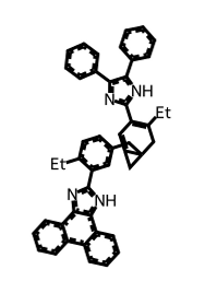 CCC1=C(c2nc(-c3ccccc3)c(-c3ccccc3)[nH]2)C=C2CC2(Cc2ccc(CC)c(-c3nc4c5ccccc5c5ccccc5c4[nH]3)c2)C1